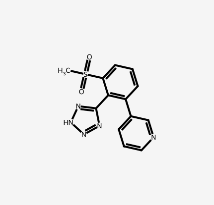 CS(=O)(=O)c1cccc(-c2cccnc2)c1-c1nn[nH]n1